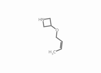 C/C=C\COC1CNC1